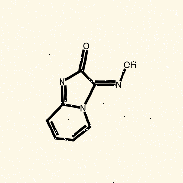 O=C1N=C2C=CC=CN2/C1=N/O